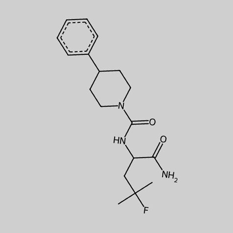 CC(C)(F)CC(NC(=O)N1CCC(c2ccccc2)CC1)C(N)=O